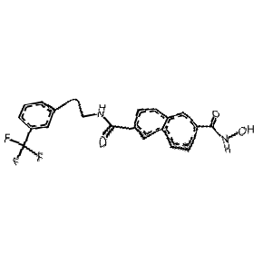 O=C(NO)c1ccc2cc(C(=O)NCCc3cccc(C(F)(F)F)c3)ccc2c1